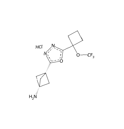 Cl.N[C@]12C[C@](c3nnc(C4(OC(F)(F)F)CCC4)o3)(C1)C2